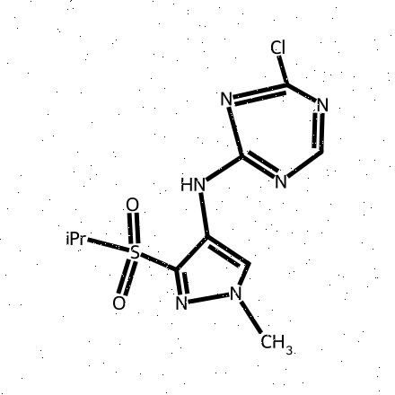 CC(C)S(=O)(=O)c1nn(C)cc1Nc1ncnc(Cl)n1